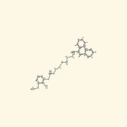 OCc1cccc(CNCCCCOCCNc2nc3ccccc3c3cnccc23)c1Cl